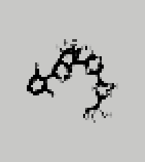 CC[C@@H](O)c1n[nH]c(-c2cncc(C34CC[C@@H](c5cc(-c6c(F)cccc6F)nnc53)C4(C)C)n2)n1